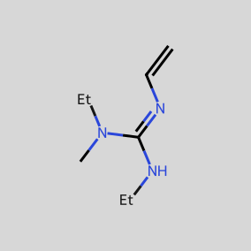 C=C/N=C(/NCC)N(C)CC